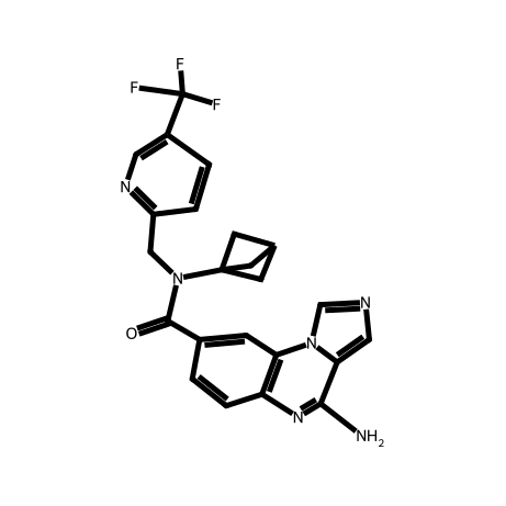 Nc1nc2ccc(C(=O)N(Cc3ccc(C(F)(F)F)cn3)C34CC(C3)C4)cc2n2cncc12